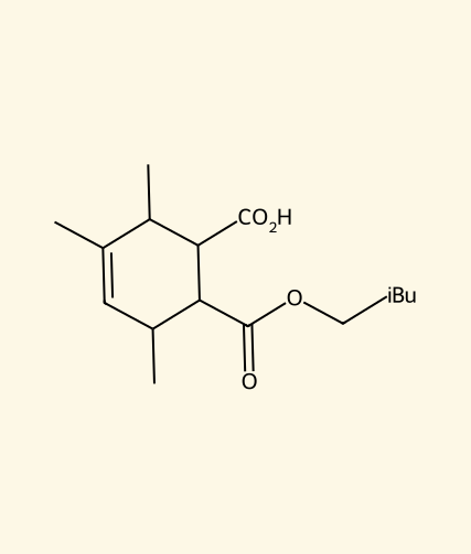 CCC(C)COC(=O)C1C(C)C=C(C)C(C)C1C(=O)O